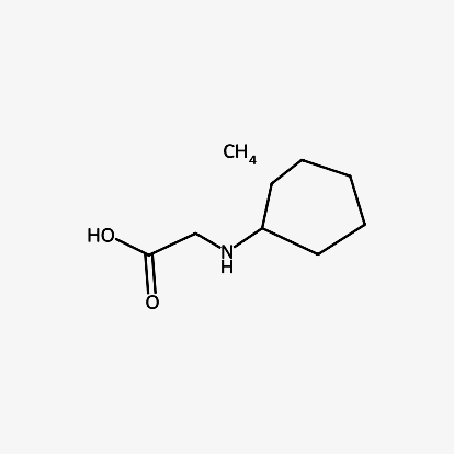 C.O=C(O)CNC1CCCCC1